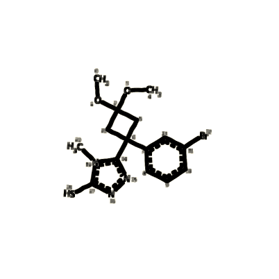 COC1(OC)CC(c2cccc(Br)c2)(c2nnc(S)n2C)C1